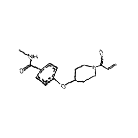 C=CC(=O)N1CCC(Oc2ccc(C(=O)NC)cc2)CC1